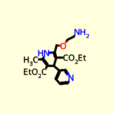 CCOC(=O)C1=C(C)NC(COCCN)=C(C(=O)OCC)C1c1cccnc1